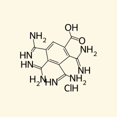 Cl.N=C(N)c1cc(C(=O)O)c(C(=N)N)c(C(=N)N)c1C(=N)N